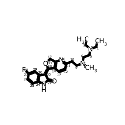 CCN(CC)CCN(C)CCc1ccc2c(n1)COC2=C1C(=O)Nc2ccc(F)cc21